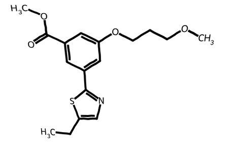 CCc1cnc(-c2cc(OCCCOC)cc(C(=O)OC)c2)s1